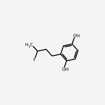 CC(F)CCc1cc(O)ccc1O